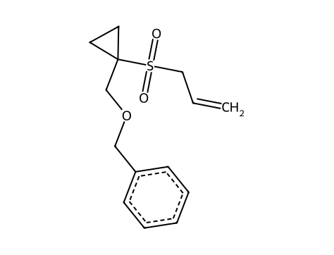 C=CCS(=O)(=O)C1(COCc2ccccc2)CC1